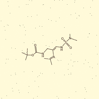 CC(C)=N/C(=C\NS(=O)(=O)N(C)C)CNC(=O)OC(C)(C)C